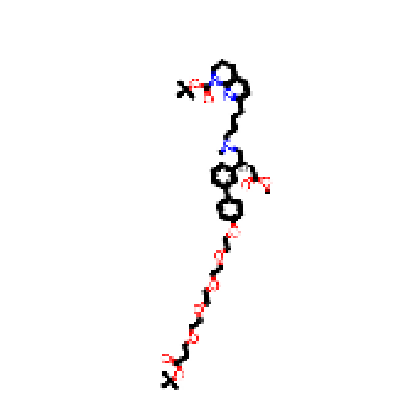 COC(=O)C[C@H](CN(C)CCCCc1ccc2c(n1)N(C(=O)OC(C)(C)C)CCC2)c1cccc(-c2ccc(OCCOCCOCCOCCOCCC(=O)OC(C)(C)C)cc2)c1